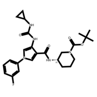 CC(C)(C)OC(=O)N1CCC[C@H](NC(=O)c2cn(-c3cccc(F)c3)cc2NC(=O)NC2CC2)C1